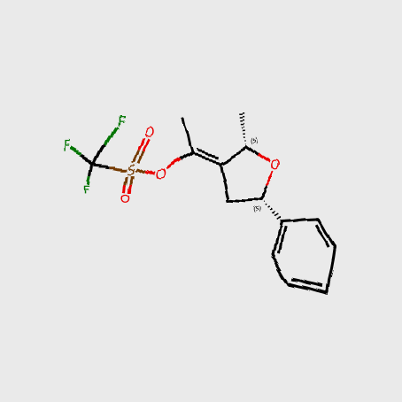 CC(OS(=O)(=O)C(F)(F)F)=C1C[C@@H](c2ccccc2)O[C@H]1C